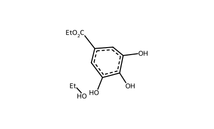 CCO.CCOC(=O)c1cc(O)c(O)c(O)c1